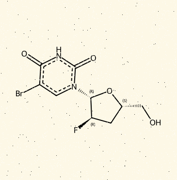 O=c1[nH]c(=O)n([C@@H]2O[C@H](CO)C[C@H]2F)cc1Br